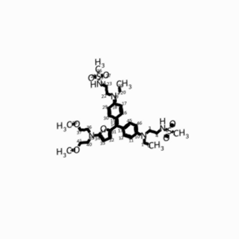 CCN(CCNS(C)(=O)=O)c1ccc(C(=C2C=CC(=[N+](CC)CCNS(C)(=O)=O)C=C2)c2ccc(N(CCOC)CCOC)o2)cc1